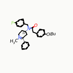 CC(C)COc1ccc(CC(=O)N(Cc2ccc(F)cc2)[C@H]2CCN(C)[C@@H](c3ccccc3)C2)cc1